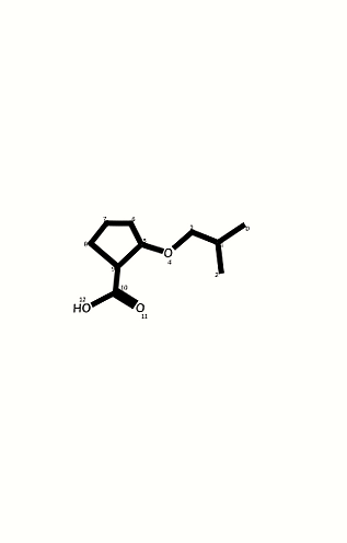 CC(C)COC1CCCC1C(=O)O